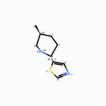 C[C@H]1CC[C@H](c2cncs2)NC1